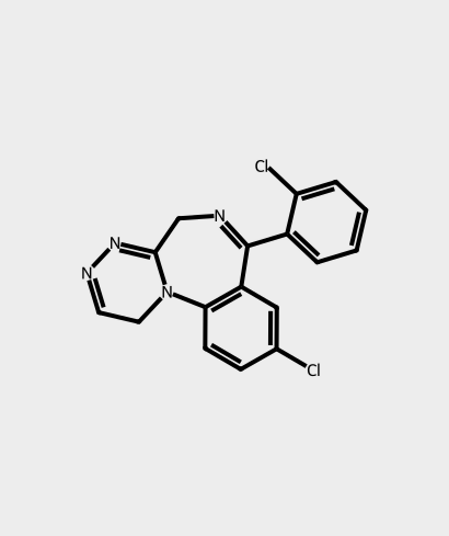 Clc1ccc2c(c1)C(c1ccccc1Cl)=NCC1=NN=CCN12